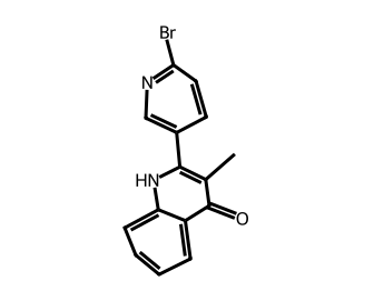 Cc1c(-c2ccc(Br)nc2)[nH]c2ccccc2c1=O